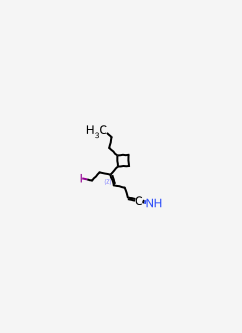 CCCC1CCC1/C(=C\CC=C=N)CCI